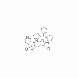 O=[N+]([O-])c1ccncc1-c1ccc2c3cnccc3n(C(c3ccccc3)(c3ccccc3)c3ccccc3)c2n1